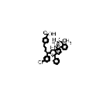 CC(C)(C)c1ccccc1S(=O)(=O)NCCc1c(CCCc2ccc(C(=O)O)cc2)c2cc(Cl)ccc2n1C(c1ccccc1)c1ccccc1